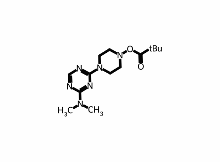 CN(C)c1ncnc(N2CCN(OC(=O)C(C)(C)C)CC2)n1